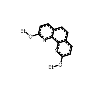 CCOc1ccc2ccc3ccc(OCC)nc3c2n1